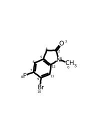 CN1C(=O)Cc2cc(F)c(Br)cc21